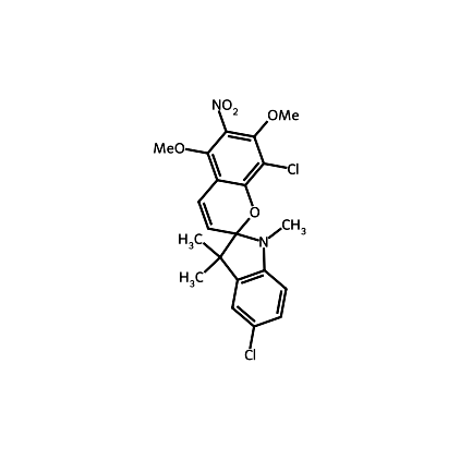 COc1c(Cl)c2c(c(OC)c1[N+](=O)[O-])C=CC1(O2)N(C)c2ccc(Cl)cc2C1(C)C